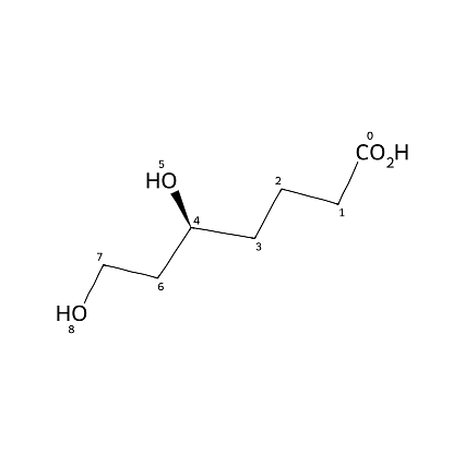 O=C(O)CCC[C@H](O)CCO